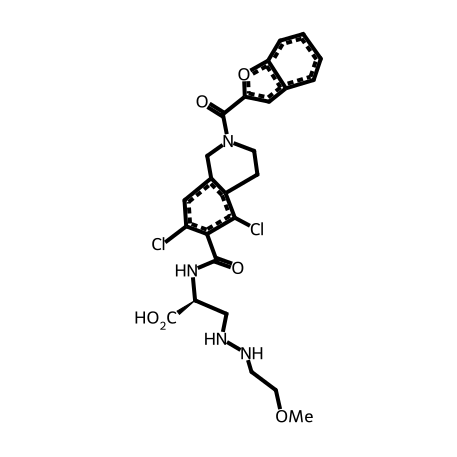 COCCNNC[C@H](NC(=O)c1c(Cl)cc2c(c1Cl)CCN(C(=O)c1cc3ccccc3o1)C2)C(=O)O